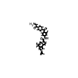 Cc1cc(NC(=O)c2ncc(-c3cn(C4CC4)nc3C(F)(F)F)n2C)ccc1C(=O)N1CCN(C(=O)CN)CC1